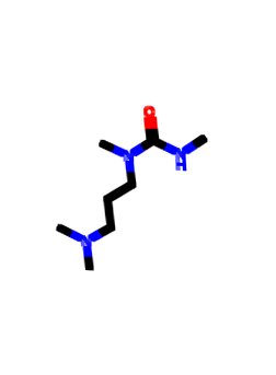 CNC(=O)N(C)CCCN(C)C